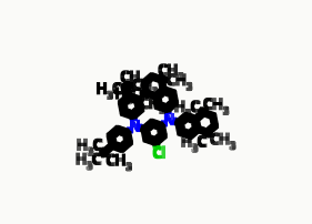 CC(C)(C)c1ccc(N(c2ccc(C(C)(C)C)cc2)c2cc(Cl)cc(N(c3ccc4c(c3)C(C)(C)CCC4(C)C)c3ccc4c(c3)C(C)(C)CCC4(C)C)c2)cc1